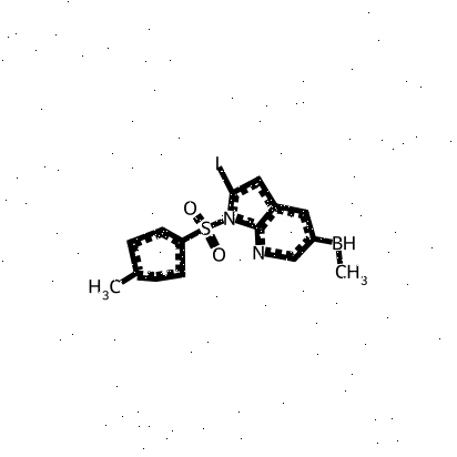 CBc1cnc2c(c1)cc(I)n2S(=O)(=O)c1ccc(C)cc1